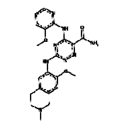 COc1cc2c(cc1Nc1nnc(C(N)=O)c(Nc3ncccc3OC)n1)CCN(C)C2